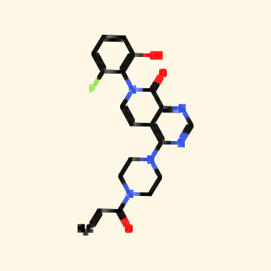 C=CC(=O)N1CCN(c2ncnc3c(=O)n(-c4c(O)cccc4F)ccc23)CC1